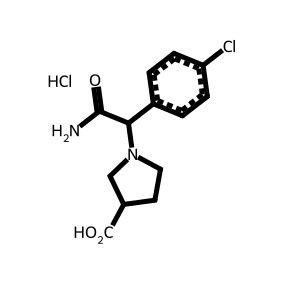 Cl.NC(=O)C(c1ccc(Cl)cc1)N1CCC(C(=O)O)C1